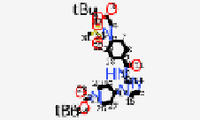 CC(C)(C)OC(=O)CN(C1CCC(C(=O)Nc2nccn2C2CCN(C(=O)OC(C)(C)C)CC2)CC1)S(C)(=O)=O